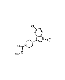 CC(C)(C)OC(=O)N1CCC(c2cn(C3CC3)c3ccc(Cl)cc23)CC1